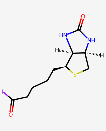 O=C(I)CCCC[C@@H]1SC[C@@H]2NC(=O)N[C@@H]21